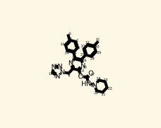 Cc1ccc(-c2nc(Cn3ncnn3)c(OC(=O)NN3CCCCC3)nc2-c2ccc(C)cc2)cc1